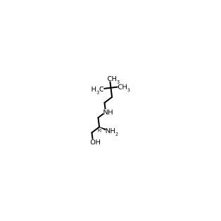 CC(C)(C)CCNC[C@@H](N)CO